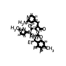 CC[C@@H](NC(=O)N1C(=O)C(Cc2ccnc(N)c2)[C@H]1C(=O)N(C)c1ccn(C)n1)c1ccc(C)c(F)c1F